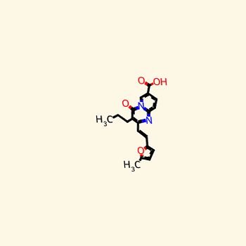 CCCc1c(C=Cc2ccc(C)o2)nc2ccc(C(=O)O)cn2c1=O